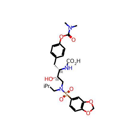 CC(C)CN(C[C@H](O)[C@H](Cc1ccc(OC(=O)N(C)C)cc1)NC(=O)O)S(=O)(=O)c1ccc2c(c1)OCO2